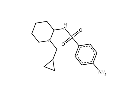 Nc1ccc(S(=O)(=O)NC2CCCCN2CC2CC2)cc1